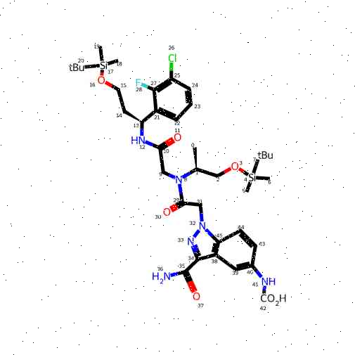 C[C@@H](CO[Si](C)(C)C(C)(C)C)N(CC(=O)N[C@@H](CCO[Si](C)(C)C(C)(C)C)c1cccc(Cl)c1F)C(=O)Cn1nc(C(N)=O)c2cc(NC(=O)O)ccc21